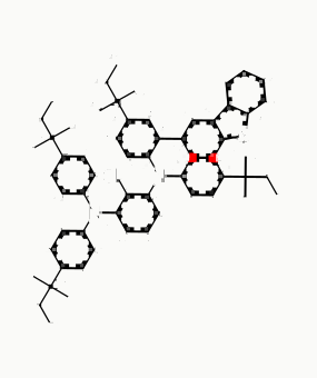 CCC(C)(C)c1ccc(N(c2ccc(C(C)(C)CC)cc2)c2cccc(N(c3ccc(C(C)(C)CC)cc3)c3ccc(C(C)(C)CC)cc3-c3ccc4sc5ccccc5c4c3)c2Cl)cc1